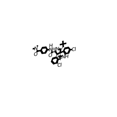 CN(C)C(=O)c1ccc(NC(=O)[C@H]2N[C@H](CC(C)(C)C)[C@]3(C(=O)Nc4cc(Cl)ccc43)[C@@H]2c2cccc(Cl)c2F)cc1